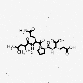 CC(C)C[C@H](N)C(=O)N[C@@H](CCC(N)=O)C(=O)N1CCC[C@H]1C(=O)N[C@@H](CCC(=O)O)C(=O)O